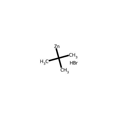 Br.C[C](C)(C)[Zn]